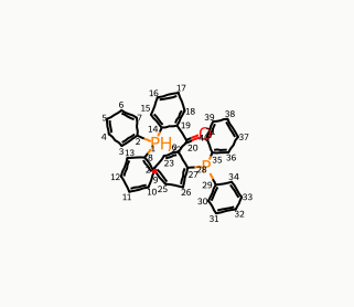 C[PH](c1ccccc1)(c1ccccc1)c1ccccc1C(=O)c1ccccc1P(c1ccccc1)c1ccccc1